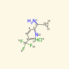 Cl.N[C@H](c1ccc(C(F)(F)F)cn1)C1CC1